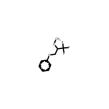 COC(COc1cc[c]cc1)C(F)(F)F